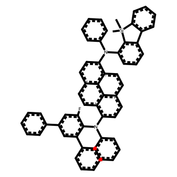 C[Si]1(C)c2ccccc2-c2cccc(N(c3ccccc3)c3ccc4ccc5c(N(c6ccccc6)c6c(F)cc(-c7ccccc7)cc6-c6ccccc6)ccc6ccc3c4c65)c21